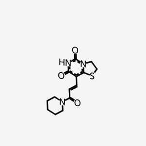 O=C(C=Cc1c2n(c(=O)[nH]c1=O)CCS2)N1CCCCC1